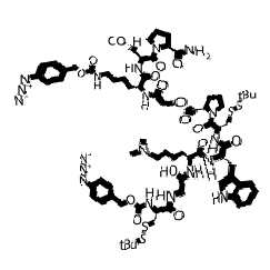 CN(C)CCCC[C@H](NC(O)CNC(=O)[C@H](CSSC(C)(C)C)NC(=O)OCc1ccc(N=[N+]=[N-])cc1)C(=O)N[C@@H](Cc1c[nH]c2ccccc12)C(=O)N[C@@H](CSSC(C)(C)C)C(=O)N1CCC[C@H]1C(=O)OCC(=O)N[C@@H](CCCCNC(=O)OCc1ccc(N=[N+]=[N-])cc1)C(=O)N[C@@H](CC(=O)O)C(=O)N1CCC[C@H]1C(N)=O